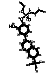 CCCSP(=O)(OCC)Oc1ccc(-c2cnc3cc(C(F)(F)F)ccc3n2)cc1O